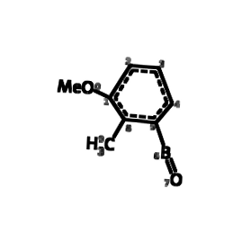 COc1cccc(B=O)c1C